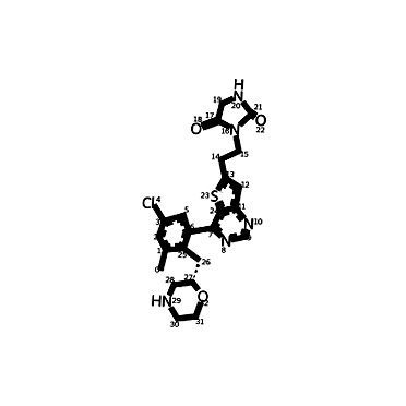 Cc1cc(Cl)cc(-c2ncnc3cc(CCN4C(=O)CNC4=O)sc23)c1C[C@H]1CNCCO1